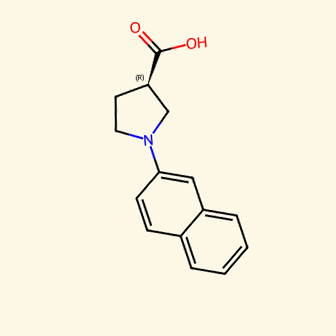 O=C(O)[C@@H]1CCN(c2ccc3ccccc3c2)C1